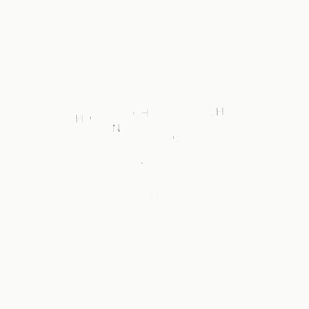 CCOCC1(CN(C)C)COC1